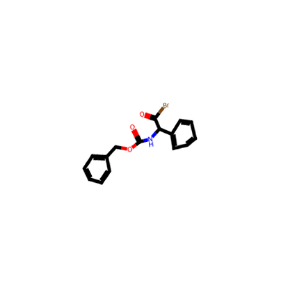 O=C(NC(C(=O)Br)c1ccccc1)OCc1ccccc1